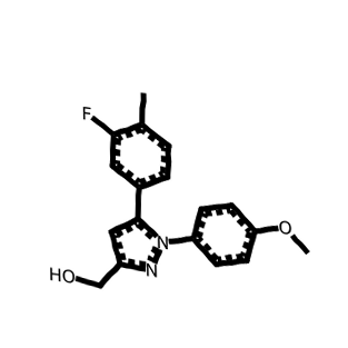 COc1ccc(-n2nc(CO)cc2-c2ccc(C)c(F)c2)cc1